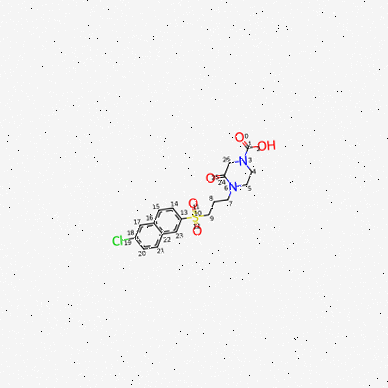 O=C(O)N1CCN(CCCS(=O)(=O)c2ccc3cc(Cl)ccc3c2)C(=O)C1